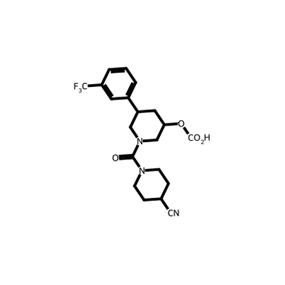 N#CC1CCN(C(=O)N2CC(OC(=O)O)CC(c3cccc(C(F)(F)F)c3)C2)CC1